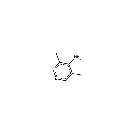 Cc1cnnc(C)c1N